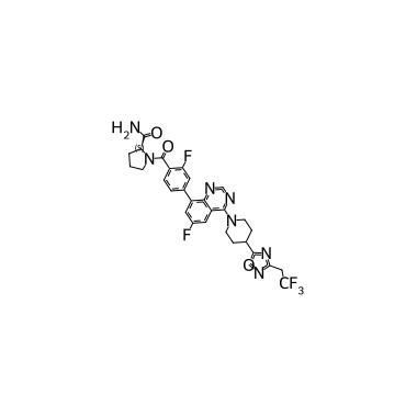 NC(=O)[C@@H]1CCCN1C(=O)c1ccc(-c2cc(F)cc3c(N4CCC(c5nc(CC(F)(F)F)no5)CC4)ncnc23)cc1F